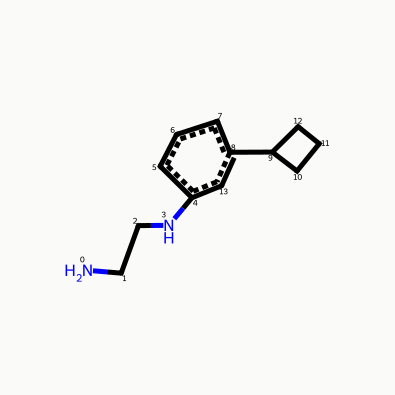 NCCNc1cccc(C2CCC2)c1